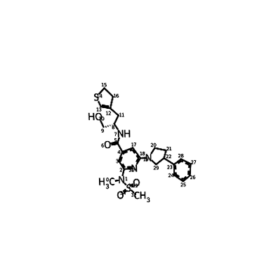 CN(c1cc(C(=O)N[C@H](CO)CC2=CSCC2)cc(N2CCC(c3ccccc3)C2)n1)S(C)(=O)=O